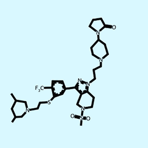 CC1CC(C)CN(CCSc2cc(-c3nn(CCCN4CCC(N5CCCC5=O)CC4)c4c3CN(S(C)(=O)=O)CC4)ccc2C(F)(F)F)C1